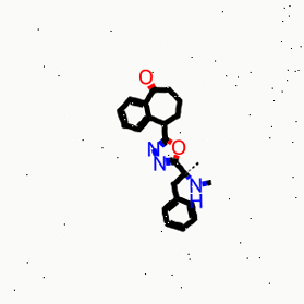 CN[C@@](C)(Cc1ccccc1)c1nnc(C2CCCC(=O)c3ccccc32)o1